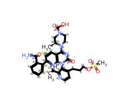 CC(C)c1nccc(CCCOS(C)(=O)=O)c1-n1c(=O)nc(N2CCN(C(=O)O)C[C@@H]2C)c2cc(F)c(-c3c(F)cccc3C(N)=O)nc21